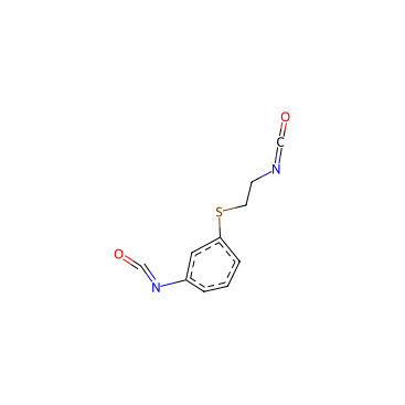 O=C=NCCSc1cccc(N=C=O)c1